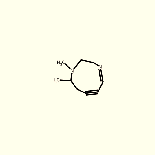 CC1CC#CC=NCCN1C